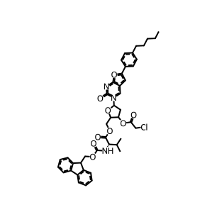 CCCCCc1ccc(-c2cc3cn(C4CC(OC(=O)CCl)C(COC(=O)[C@@H](NC(=O)OCC5c6ccccc6-c6ccccc65)C(C)C)O4)c(=O)nc3o2)cc1